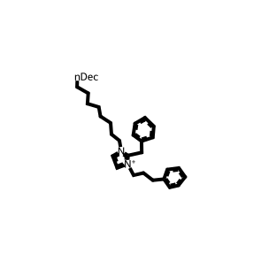 CCCCCCCCCCCCCCCCCCn1cc[n+](CCCc2ccccc2)c1Cc1ccccc1